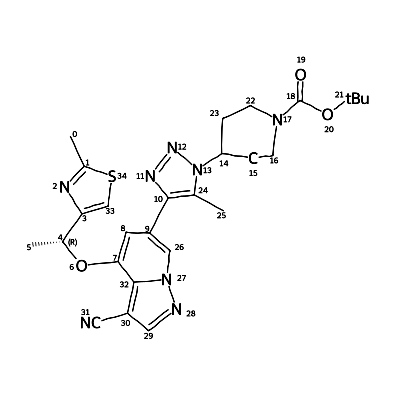 Cc1nc([C@@H](C)Oc2cc(-c3nnn(C4CCN(C(=O)OC(C)(C)C)CC4)c3C)cn3ncc(C#N)c23)cs1